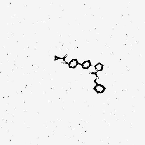 O=C(Nc1ccc(-c2ccc([C@@H]3CCCN3C(=O)OCc3ccccc3)cc2)cc1)C1CC1